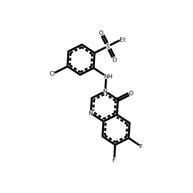 CCS(=O)(=O)c1ccc(Cl)cc1Nn1cnc2cc(F)c(F)cc2c1=O